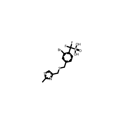 Cc1nc(CSCc2ccc(C(F)(F)P(=O)(O)O)c(Br)c2)cs1